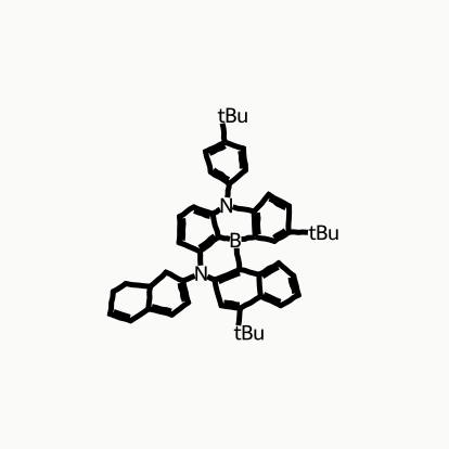 CC(C)(C)c1ccc(N2c3ccc(C(C)(C)C)cc3B3c4c(cccc42)N(C2=CC=C4C=CCCC4C2)c2cc(C(C)(C)C)c4ccccc4c23)cc1